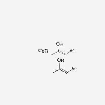 CC(=O)/C=C(/C)O.CC(=O)/C=C(/C)O.[Ce].[Ti]